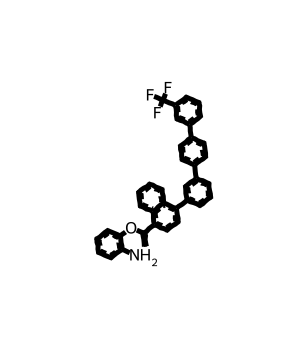 C=C(Oc1ccccc1N)c1ccc(-c2cccc(-c3ccc(-c4cccc(C(F)(F)F)c4)cc3)c2)c2ccccc12